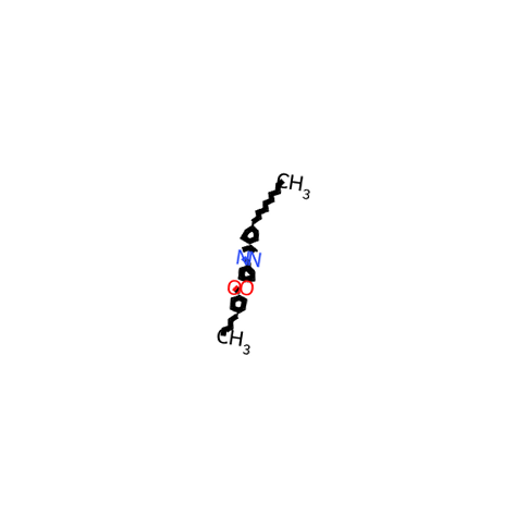 CCCCCCCCCC[C@H]1CC[C@H](c2cnc(-c3ccc(OC(=O)[C@H]4CC[C@H](CCCCC)CC4)cc3)nc2)CC1